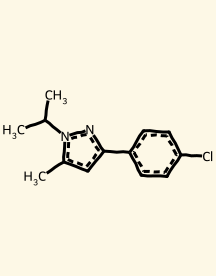 Cc1cc(-c2ccc(Cl)cc2)nn1C(C)C